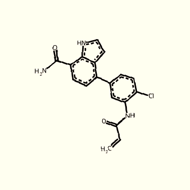 C=CC(=O)Nc1cc(-c2ccc(C(N)=O)c3[nH]ccc23)ccc1Cl